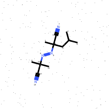 CC(C)CC(C)(C#N)N=NC(C)(C)C#N